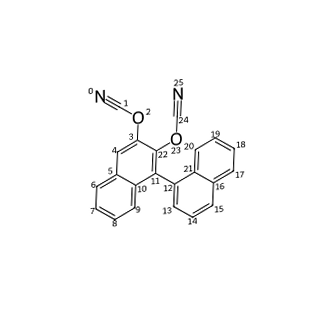 N#COc1cc2ccccc2c(-c2cccc3ccccc23)c1OC#N